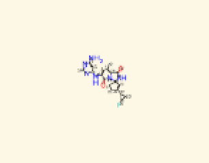 Cc1cc(Nc2cc(N)ncn2)c(=O)n2c1C(=O)NC21C=C(C2CC2F)CC1